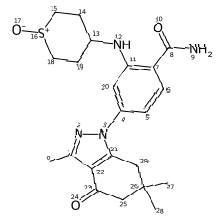 Cc1nn(-c2ccc(C(N)=O)c(NC3CC[S+]([O-])CC3)c2)c2c1C(=O)CC(C)(C)C2